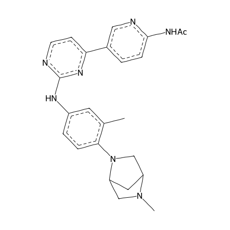 CC(=O)Nc1ccc(-c2ccnc(Nc3ccc(N4CC5CC4CN5C)c(C)c3)n2)cn1